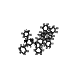 c1ccc(-c2cc(-n3c4ccccc4c4c5c(ccc43)C3(c4ccccc4-5)c4ccccc4C4(c5ccccc5-c5ccccc54)c4ccccc43)nc(-c3ccccc3)n2)cc1